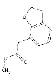 COC(=O)Cc1cccc2c1OCC2